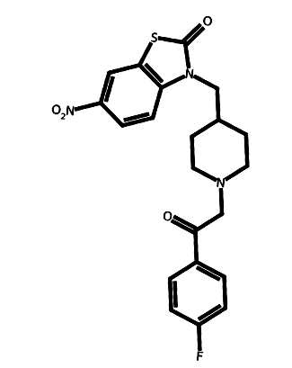 O=C(CN1CCC(Cn2c(=O)sc3cc([N+](=O)[O-])ccc32)CC1)c1ccc(F)cc1